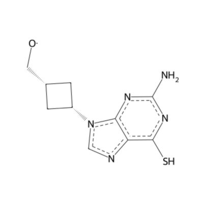 Nc1nc(S)c2ncn([C@H]3C[C@@H](C[O])C3)c2n1